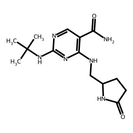 CC(C)(C)Nc1ncc(C(N)=O)c(NCC2CCC(=O)N2)n1